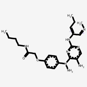 CC/C=C(\C=N/C)Nc1ncc(N)c(N(N)c2ccc(OCC(=O)NCCCC)cc2)n1